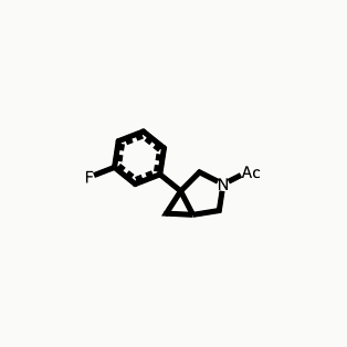 CC(=O)N1CC2CC2(c2cccc(F)c2)C1